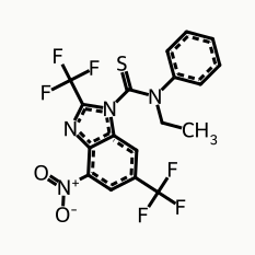 CCN(C(=S)n1c(C(F)(F)F)nc2c([N+](=O)[O-])cc(C(F)(F)F)cc21)c1ccccc1